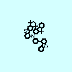 CC1(C)CCC(C)(C)c2cc3c(cc21)sc1cccc(N(c2cccc(-c4cccc5oc6ccccc6c45)c2)c2ccc4c(c2)C(C)(C)c2ccccc2-4)c13